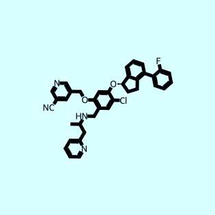 CC(Cc1ccccn1)NCc1cc(Cl)c(O[C@H]2CCc3c(-c4ccccc4F)cccc32)cc1OCc1cncc(C#N)c1